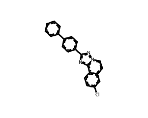 Clc1ccc2c(ccn3nc(-c4ccc(-c5ccccc5)cc4)nc23)c1